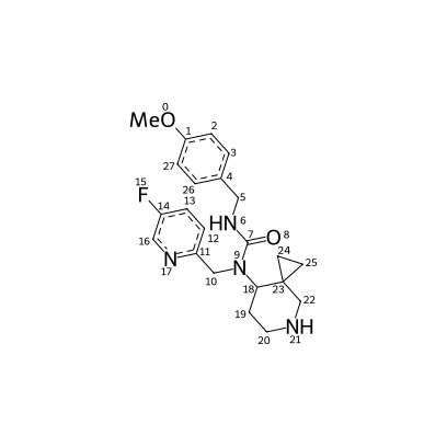 COc1ccc(CNC(=O)N(Cc2ccc(F)cn2)C2CCNCC23CC3)cc1